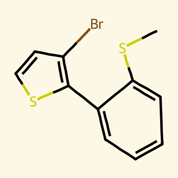 CSc1ccccc1-c1sccc1Br